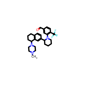 CN1CCN(C2CCCc3ccc(C4CCCCN4c4cc(C=O)ccc4C(F)(F)F)cc32)CC1